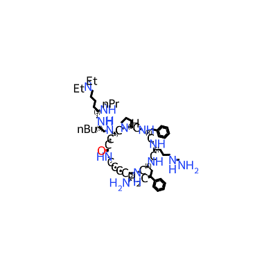 C=C(C[C@H]1CN[C@H](CN)CCCCNC(=O)CC[C@H](NC[C@H](CCCC)NC[C@H](CCCCN(CC)CC)NCCC)CN2CCC[C@H]2CN[C@H](Cc2ccccc2)CN[C@@H](CCCNCN)CN1)c1ccccc1